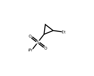 CCC1CC1S(=O)(=O)C(C)C